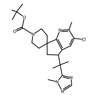 Cc1nc2c(cc1Cl)C(C(C)(C)c1ncnn1C)CC21CCN(C(=O)OC(C)(C)C)CC1